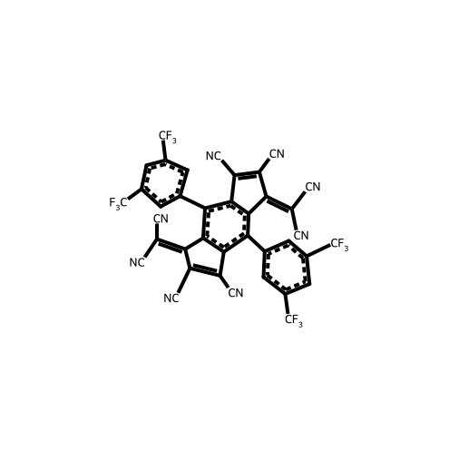 N#CC(C#N)=C1C(C#N)=C(C#N)c2c1c(-c1cc(C(F)(F)F)cc(C(F)(F)F)c1)c1c(c2-c2cc(C(F)(F)F)cc(C(F)(F)F)c2)C(=C(C#N)C#N)C(C#N)=C1C#N